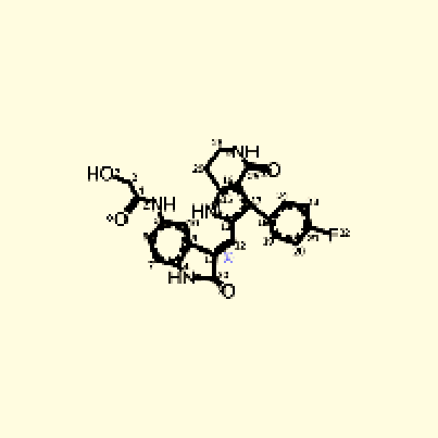 O=C(CO)Nc1ccc2c(c1)/C(=C\c1[nH]c3c(c1-c1ccc(F)cc1)C(=O)NCC3)C(=O)N2